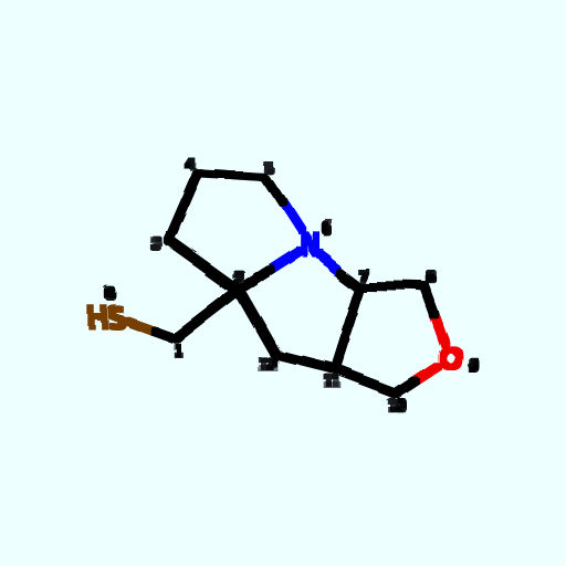 SCC12CCCN1C1COCC1C2